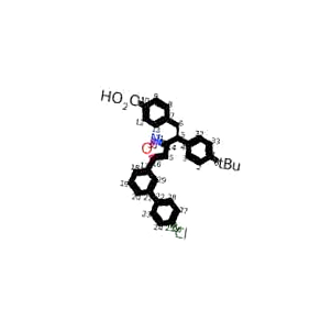 CC(C)(C)c1ccc([C@H](Cc2ccc(C(=O)O)cc2)c2cc(-c3cccc(-c4ccc(Cl)cc4)c3)on2)cc1